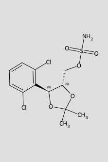 CC1(C)O[C@@H](COS(N)(=O)=O)[C@H](c2c(Cl)cccc2Cl)O1